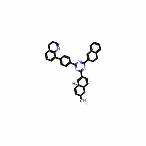 CC1C=C[C@H]2C=C(c3nc(C4=Cc5ccccc5CC4)nc(-c4ccc(-c5cccc6c5N=CCC6)cc4)n3)C=CC2C1